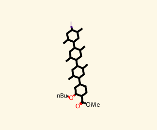 CCCCOC1CC(C2CC(C)C(C3CC(C)C(C4CC(C)C(I)CC4C)CC3C)CC2C)CCC1C(=O)OC